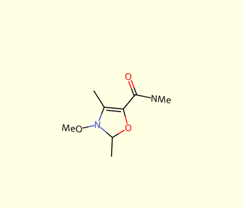 CNC(=O)C1=C(C)N(OC)C(C)O1